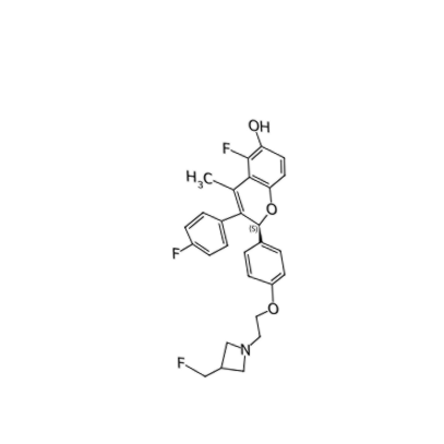 CC1=C(c2ccc(F)cc2)[C@H](c2ccc(OCCN3CC(CF)C3)cc2)Oc2ccc(O)c(F)c21